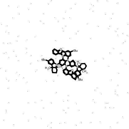 CC(C)(C)c1ccc2c(c1)C1(C)CCCCC1(C)N2c1ccc2c(c1)N(c1cccc3c1oc1ccccc13)c1cc(N3c4ccc(C(C)(C)C)cc4C4(C)CCCCC34C)cc3c1B2c1cc(C(C)(C)C)cc2c4oc5ccccc5c4n-3c12